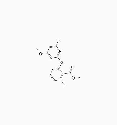 COC(=O)c1c(F)cccc1Oc1nc(Cl)cc(OC)n1